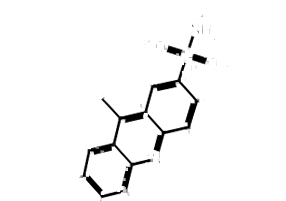 Cc1c2ccccc2nc2ccc(S(N)(=O)=O)cc12